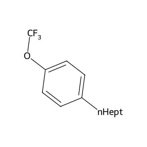 CCCCCCCc1ccc(OC(F)(F)F)cc1